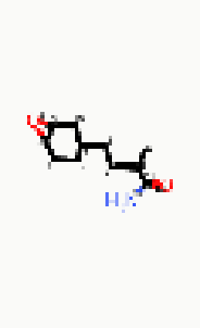 C/C(=C\CC1CCC2OC2C1)C(N)=O